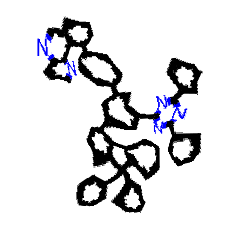 c1ccc(-c2nc(-c3ccccc3)nc(-c3cc(-c4ccc(-c5cccc6cnc7cccnc7c56)cc4)cc(-c4cccc5c4-c4ccccc4C5(c4ccccc4)c4ccccc4)c3)n2)cc1